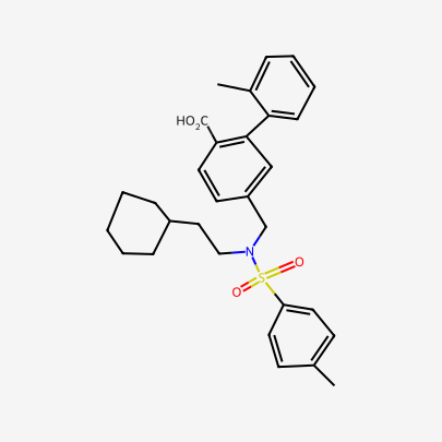 Cc1ccc(S(=O)(=O)N(CCC2CCCCC2)Cc2ccc(C(=O)O)c(-c3ccccc3C)c2)cc1